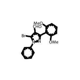 COc1cccc(OC)c1-c1nn(-c2ccccc2)c(Br)c1C=O